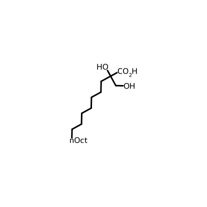 CCCCCCCCCCCCCCCC(O)(CO)C(=O)O